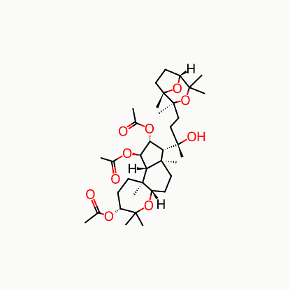 CC(=O)O[C@H]1[C@H](OC(C)=O)[C@H]([C@@](C)(O)CC[C@]2(C)OC(C)(C)[C@H]3CC[C@]2(C)O3)[C@@]2(C)CC[C@@H]3OC(C)(C)[C@H](OC(C)=O)CC[C@@]3(C)[C@H]12